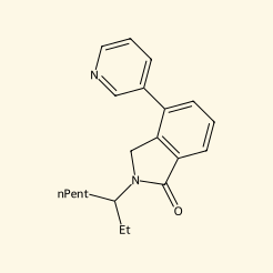 CCCCCC(CC)N1Cc2c(cccc2-c2cccnc2)C1=O